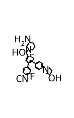 N#Cc1ccc(-c2cc(C(O)N3CCCC(N)C3)sc2-c2ccc(N3CCC(O)C3)cc2)cc1F